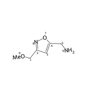 COCc1cc(CN)on1